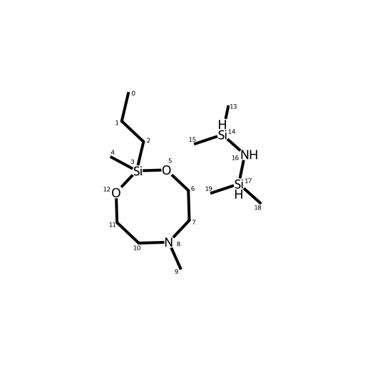 CCC[Si]1(C)OCCN(C)CCO1.C[SiH](C)N[SiH](C)C